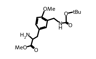 COC(=O)C(N)Cc1ccc(OC)c(CNC(=O)OC(C)(C)C)c1